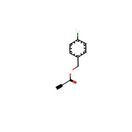 C#CC(=O)OCc1ccc(Br)cc1